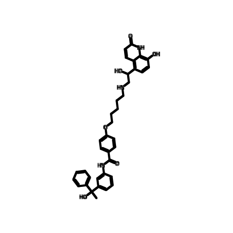 CC(O)(c1ccccc1)c1cccc(NC(=O)c2ccc(OCCCCCNCC(O)c3ccc(O)c4[nH]c(=O)ccc34)cc2)c1